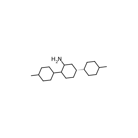 CC1CCC(C2CC[C@@H](C3CCC(C)CC3)CC2N)CC1